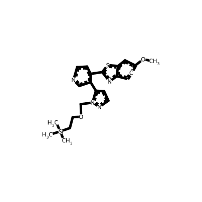 COc1ccc2nc(-c3ccncc3-c3ccnn3COCC[Si](C)(C)C)sc2c1